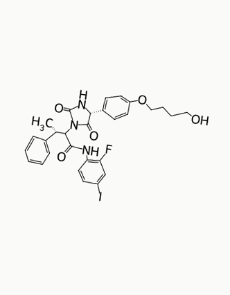 C[C@@H](c1ccccc1)C(C(=O)Nc1ccc(I)cc1F)N1C(=O)N[C@H](c2ccc(OCCCCO)cc2)C1=O